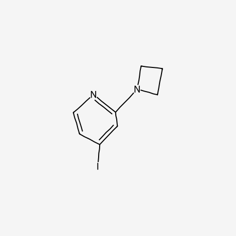 Ic1ccnc(N2CCC2)c1